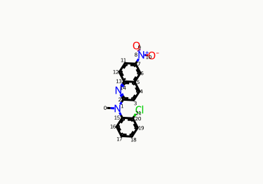 CN(c1ccc2cc([N+](=O)[O-])ccc2n1)c1ccccc1Cl